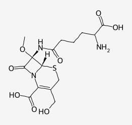 CO[C@@]1(NC(=O)CCCC(N)C(=O)O)C(=O)N2C(C(=O)O)=C(CO)CS[C@H]21